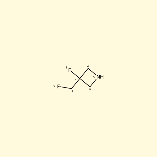 FCC1(F)CNC1